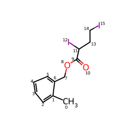 Cc1ccccc1COC(=O)C(I)CCI